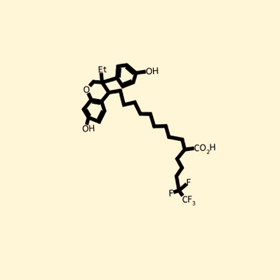 CCC1(c2ccc(O)cc2)COc2cc(O)ccc2C1CCCCCCCCCC(CCCC(F)(F)C(F)(F)F)C(=O)O